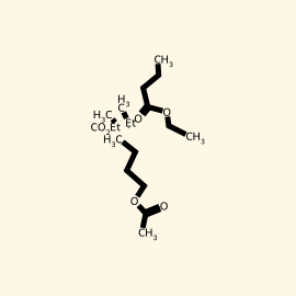 CCCC(=O)OCC.CCCCOC(C)=O.CCOC(C)=O.C[CH]C